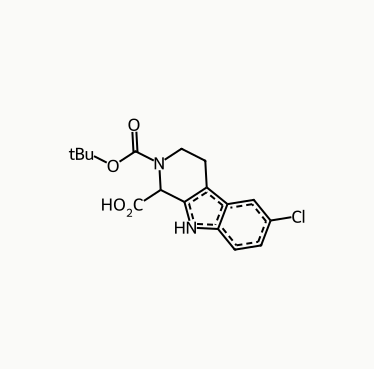 CC(C)(C)OC(=O)N1CCc2c([nH]c3ccc(Cl)cc23)C1C(=O)O